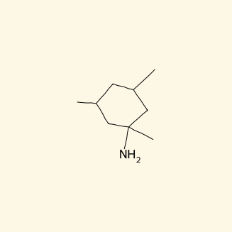 CC1CC(C)CC(C)(N)C1